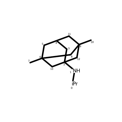 CC(C)NC12CC3CC(C)(CC(C)(C3)C1)C2